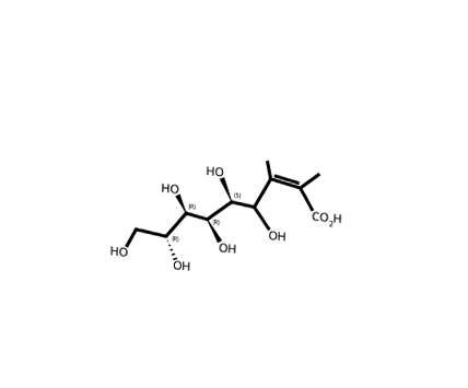 CC(C(=O)O)=C(C)C(O)[C@H](O)[C@@H](O)[C@H](O)[C@H](O)CO